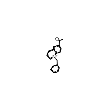 CC(=O)c1ccc2c(ccc[n+]2Cc2ccccc2)c1